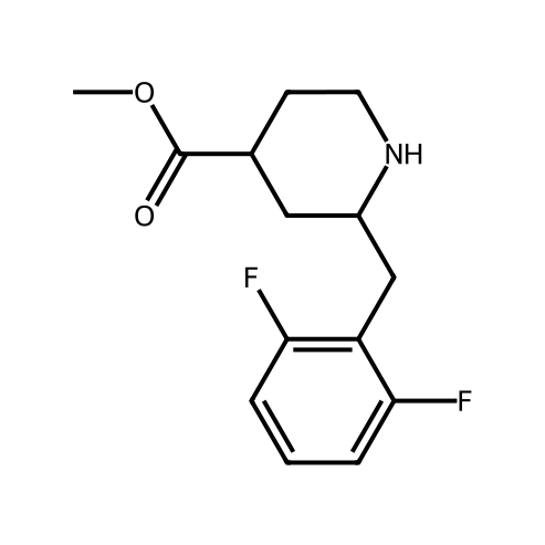 COC(=O)C1CCNC(Cc2c(F)cccc2F)C1